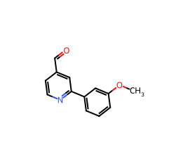 COc1cccc(-c2cc(C=O)ccn2)c1